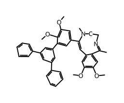 COc1cc2c(cc1OC)/C(C)=N/CCN(C)/C(c1cc(OC)c(OC)c(-c3cc(-c4ccccc4)cc(-c4ccccc4)c3)c1)=C\2